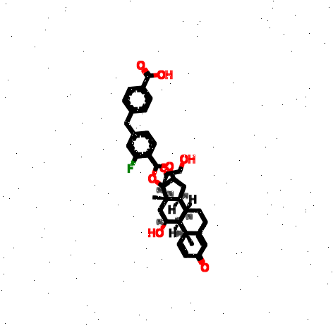 C[C@]12C=CC(=O)C=C1CC[C@@H]1[C@@H]2[C@@H](O)C[C@@]2(C)[C@H]1CC1OC(c3ccc(Cc4ccc(C(=O)O)cc4)cc3F)O[C@]12C(=O)CO